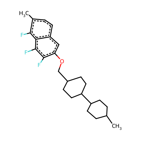 Cc1ccc2cc(OCC3CCC(C4CCC(C)CC4)CC3)c(F)c(F)c2c1F